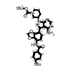 CC(C)(C)OC(=O)N1CCC[C@@H](n2nc(-c3ccc(NC(=O)c4ccc(C(C)(C)C)cc4)c4c3OCO4)c3c(N)ncnc32)C1